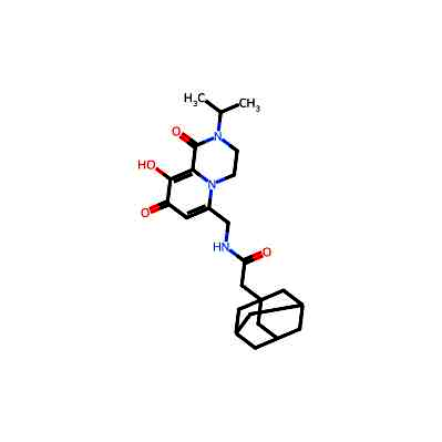 CC(C)N1CCn2c(CNC(=O)CC34CC5CC(CC(C5)C3)C4)cc(=O)c(O)c2C1=O